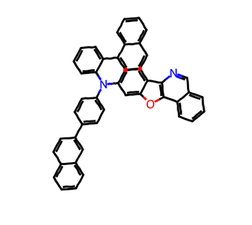 c1ccc(N(c2ccc(-c3ccc4ccccc4c3)cc2)c2ccc3c(c2)oc2c4ccccc4cnc32)c(-c2cccc3ccccc23)c1